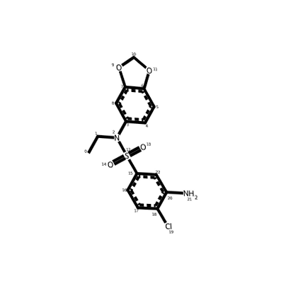 CCN(c1ccc2c(c1)OCO2)S(=O)(=O)c1ccc(Cl)c(N)c1